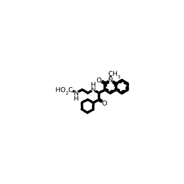 Cn1c(=O)c(C(NCCNC(=O)O)C(=O)C2CCCCC2)cc2ccccc21